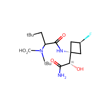 CC(C)(C)CC(C(=O)N[C@]1([C@H](O)C(N)=O)C[C@@H](F)C1)N(C(=O)O)C(C)(C)C